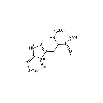 CNC(=O)C(Cc1c[nH]c2ccccc12)NC(=O)O